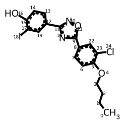 CCCCOc1ccc(-c2nc(-c3ccc(O)c(I)c3)no2)cc1Cl